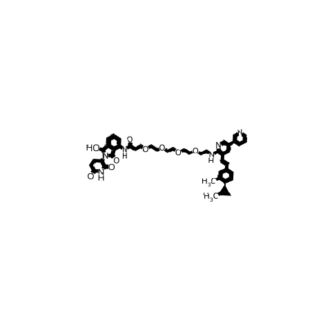 Cc1cc(/C=C/c2cc(-c3cccnc3)cnc2NCCOCCOCCOCCOCCC(=O)Nc2cccc3c2C(=O)N(C2CCC(=O)NC2=O)C3O)ccc1[C@H]1CC1C